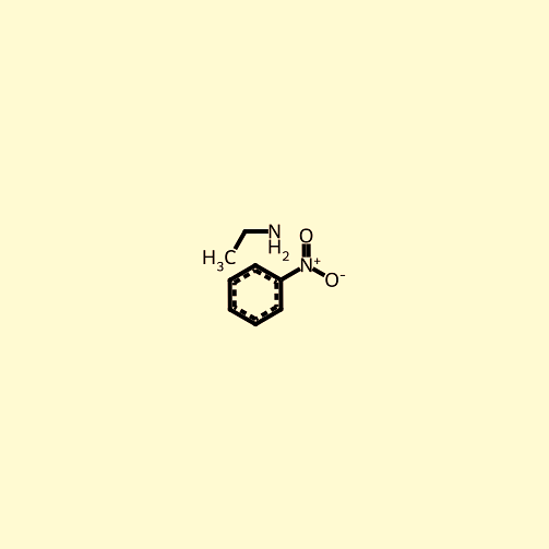 CCN.O=[N+]([O-])c1ccccc1